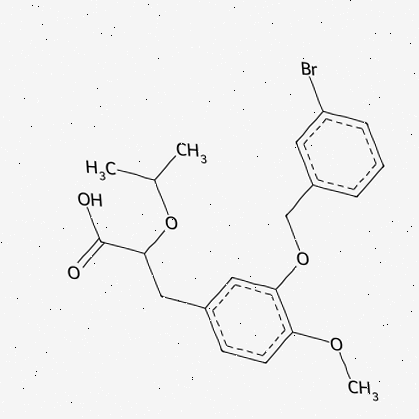 COc1ccc(CC(OC(C)C)C(=O)O)cc1OCc1cccc(Br)c1